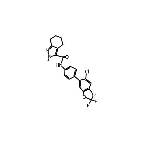 Cn1nc2c(c1C(=O)Nc1ccc(-c3cc4c(cc3Cl)OC(F)(F)O4)cc1)CCCC2